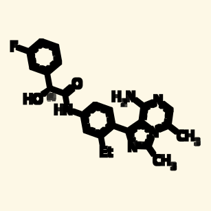 CCc1cc(NC(=O)[C@@H](O)c2cccc(F)c2)ccc1-c1nc(C)n2c(C)cnc(N)c12